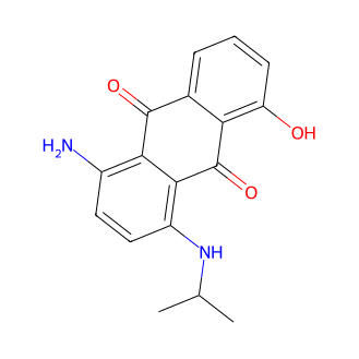 CC(C)Nc1ccc(N)c2c1C(=O)c1c(O)cccc1C2=O